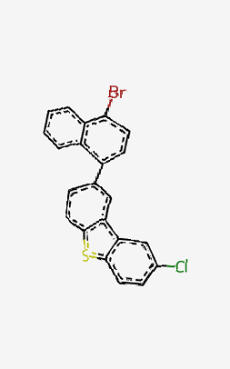 Clc1ccc2sc3ccc(-c4ccc(Br)c5ccccc45)cc3c2c1